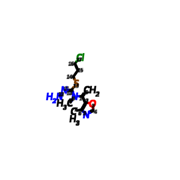 C=C(c1ocnc1C)N(C)/C(=N\N)SCCCCl